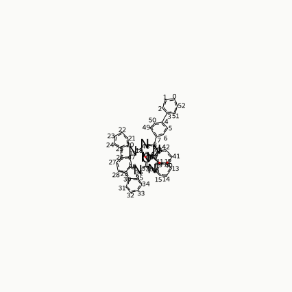 c1ccc(-c2ccc(-c3nc(-c4ccccc4)nc(-n4c5ccccc5c5ccc6c7ccccc7n(-c7nc8ccccc8o7)c6c54)n3)cc2)cc1